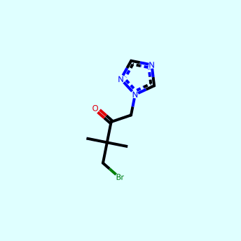 CC(C)(CBr)C(=O)Cn1cncn1